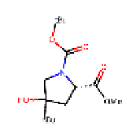 CCCCC1(O)C[C@@H](C(=O)OC)N(C(=O)OC(C)(C)C)C1